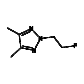 Cc1nn(CCF)nc1C